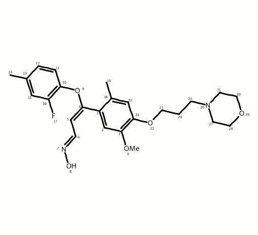 COc1cc(/C(=C\C=N\O)Oc2ccc(C)cc2F)c(C)cc1OCCCN1CCOCC1